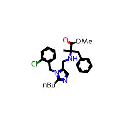 CCCCc1ncc(CNC(C)(Cc2ccccc2)C(=O)OC)n1Cc1ccccc1Cl